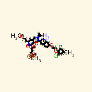 COCCCc1cc(CN(C(=O)C(CN)Cc2ccc(OCCOc3c(Cl)cc(C)cc3Cl)cc2)C2CC2)cc(OCCCS(C)(=O)=O)[n+]1[O-]